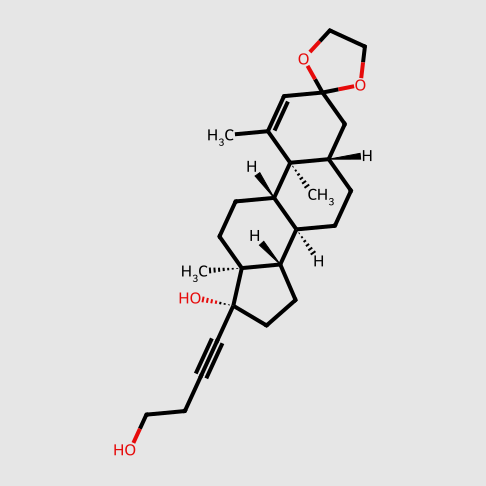 CC1=CC2(C[C@@H]3CC[C@@H]4[C@H](CC[C@@]5(C)[C@H]4CC[C@@]5(O)C#CCCO)[C@@]13C)OCCO2